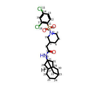 O=C(CC1CCCN(S(=O)(=O)c2ccc(Cl)cc2Cl)C1)NC12CC3CCC[C@@H](C1)C(C3)C2